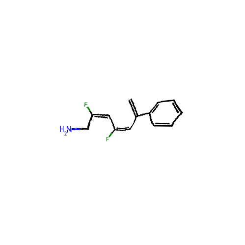 C=C(/C=C(F)\C=C(\F)CN)c1ccccc1